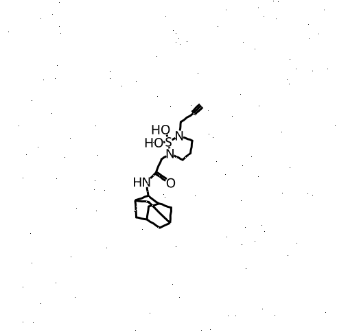 C#CCN1CCCN(CC(=O)NC2C3CC4CC(C3)CC2C4)S1(O)O